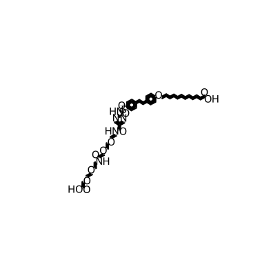 O=C(O)CCCCCCCCCCCOc1ccc(CCc2ccc(S(=O)(=O)Nc3ncc(C(=O)NCCOCCOCC(=O)NCCOCCOCC(=O)O)cn3)cc2)cc1